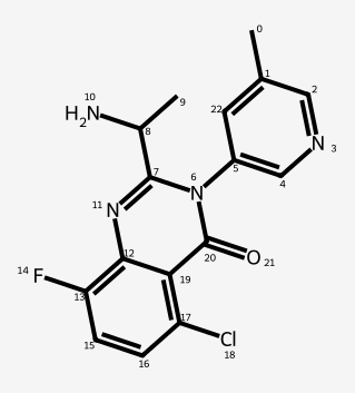 Cc1cncc(-n2c(C(C)N)nc3c(F)ccc(Cl)c3c2=O)c1